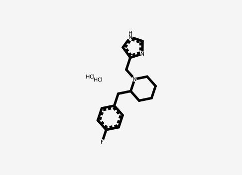 Cl.Cl.Fc1ccc(CC2CCCCN2Cc2c[nH]cn2)cc1